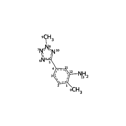 Cc1ccc(-c2nnn(C)n2)cc1N